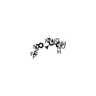 O=c1[nH]cc(-c2cc([C@H]3C[C@@H]3c3ccc4cnn(CCC(F)(F)F)c4c3)c3nccn3n2)c(=O)[nH]1